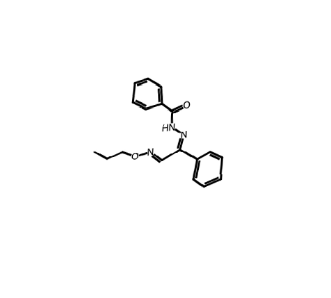 CCCON=CC(=NNC(=O)c1ccccc1)c1ccccc1